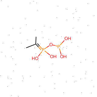 CC(C)=P(O)(O)OP(O)O